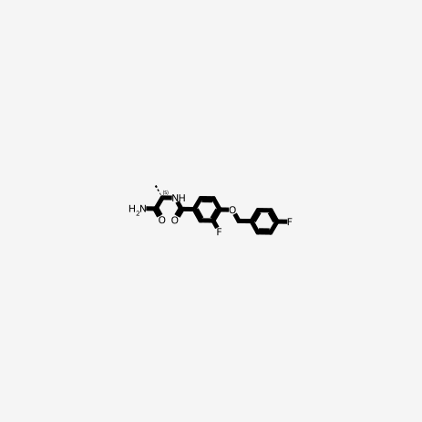 C[C@H](NC(=O)c1ccc(OCc2ccc(F)cc2)c(F)c1)C(N)=O